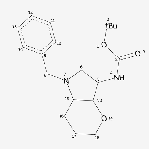 CC(C)(C)OC(=O)NC1CN(Cc2ccccc2)C2CCCOC12